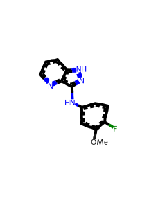 COc1cc(Nc2n[nH]c3cccnc23)ccc1F